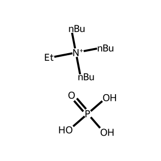 CCCC[N+](CC)(CCCC)CCCC.O=P(O)(O)O